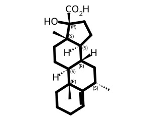 C[C@H]1C[C@@H]2[C@H](CC[C@@]3(C)[C@H]2CC[C@]3(O)C(=O)O)[C@@]2(C)CCCC=C12